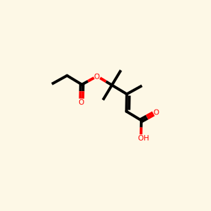 CCC(=O)OC(C)(C)/C(C)=C/C(=O)O